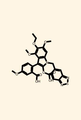 CCOc1c(OC)cc2c(c1OC)c(-c1ccc(OC)cc1C(=O)O)c(OC(=O)O)n2Cc1ccc2nsnc2c1